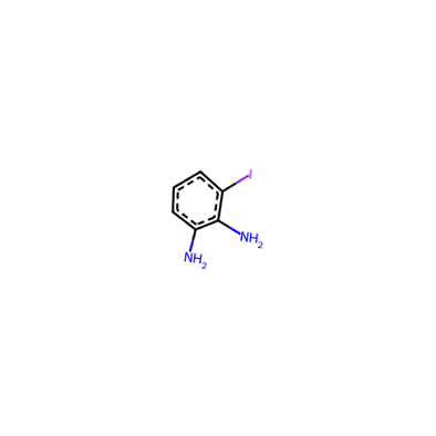 Nc1cccc(I)c1N